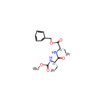 CC(C)C[C@H](NC(=O)OC(C)(C)C)C(=O)N[C@@H](CC(C)C)C(=O)OCc1ccccc1